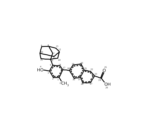 Cc1cc(O)c(C23CC4CC(CC(C4)C2)C3)cc1-c1ccc2cc(C(=O)O)ccc2c1